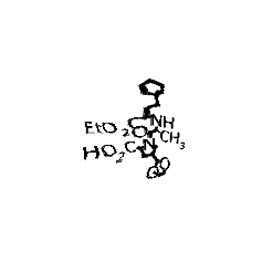 CCOC(=O)C(CCc1ccccc1)N[C@@H](C)C(=O)N1CC(C2OCCO2)CC1C(=O)O